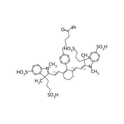 CC(C)C(=O)CCCCc1ccc(C2=C(/C=C/C3=[N+](C)c4ccc(S(=O)(=O)O)cc4C3(C)CCCS(=O)(=O)O)CCC/C2=C\C=C2\N(C)c3ccc(S(=O)(=O)O)cc3C2(C)CCCS(=O)(=O)O)cc1